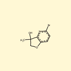 CC1(O)COc2ccc(Br)nc21